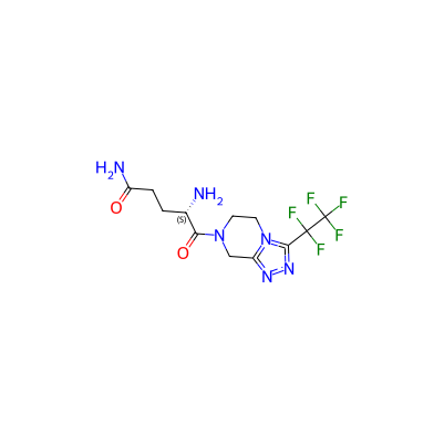 NC(=O)CC[C@H](N)C(=O)N1CCn2c(nnc2C(F)(F)C(F)(F)F)C1